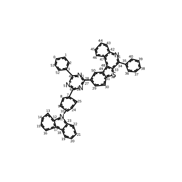 c1ccc(-c2nc(-c3ccc(-n4c5ccccc5c5ccccc54)cc3)nc(-c3ccc4sc5c(-c6ccccc6)nc6ccccc6c5c4c3)n2)cc1